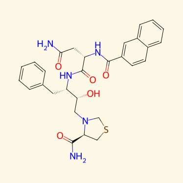 NC(=O)C[C@H](NC(=O)c1ccc2ccccc2c1)C(=O)N[C@@H](Cc1ccccc1)[C@H](O)CN1CSC[C@H]1C(N)=O